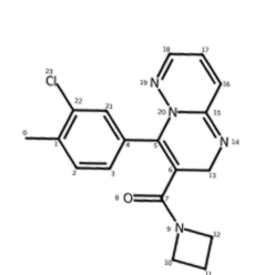 Cc1ccc(C2=C(C(=O)N3CCC3)CN=C3C=CC=NN32)cc1Cl